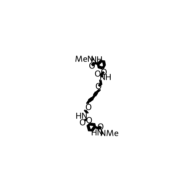 CNNC(=O)c1cccc(OC(=O)NCCOCC#CC#CCOCCNC(=O)Oc2cccc(C(=O)NNC)c2)c1